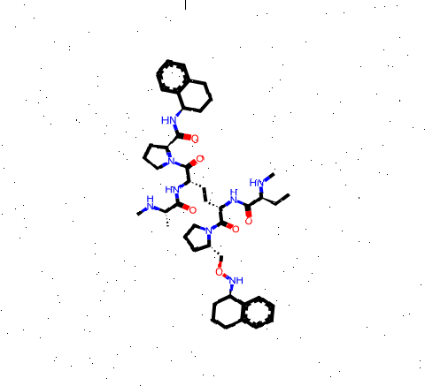 CC[C@H](NC)C(=O)N[C@@H](CC[C@H](NC(=O)[C@H](C)NC)C(=O)N1CCC[C@H]1C(=O)N[C@@H]1CCCc2ccccc21)C(=O)N1CCC[C@H]1CON[C@@H]1CCCc2ccccc21